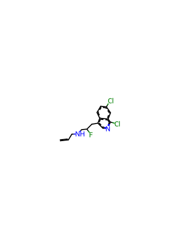 C=CCNCC(F)Cc1cnc(Cl)c2cc(Cl)ccc12